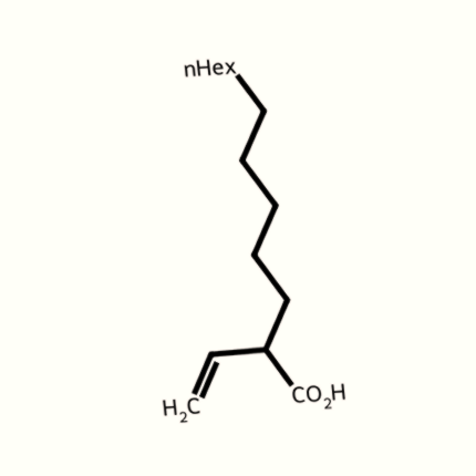 C=CC(CCCCCCCCCCC)C(=O)O